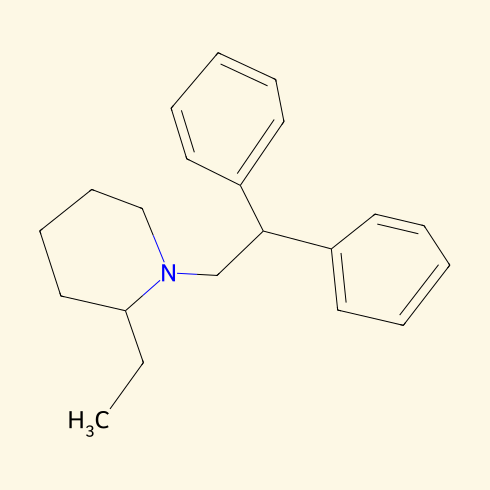 CCC1CCCCN1CC(c1ccccc1)c1ccccc1